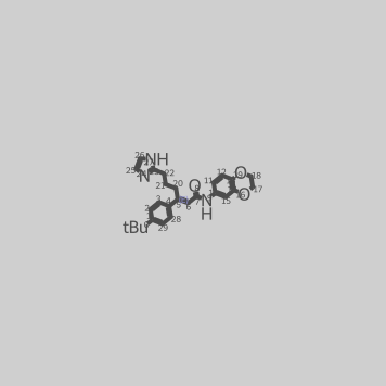 CC(C)(C)c1ccc(/C(=C/C(=O)Nc2ccc3c(c2)OCCO3)CCCc2ncc[nH]2)cc1